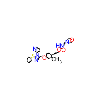 Cc1cc(OCc2cnc(SC3C=CCCC3)n2-c2cccnc2)ccc1C#CCOC(=O)NCCN1CCOCC1